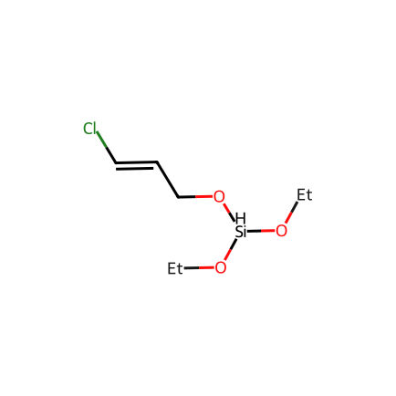 CCO[SiH](OCC)OCC=CCl